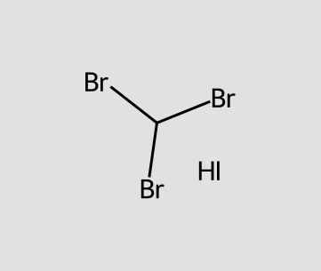 BrC(Br)Br.I